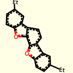 CCc1ccc2oc3c(ccc4c5cc(CC)ccc5oc43)c2c1